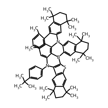 Cc1cc2c3c(c1)N(c1ccc(C(C)(C)C)cc1)c1c(sc4cc5c(cc14)C(C)(C)CCC5(C)C)B3c1cc3c(cc1N2c1cc2c(cc1-c1ccccc1C)C(C)(C)CCC2(C)C)C(C)(C)CCC3(C)C